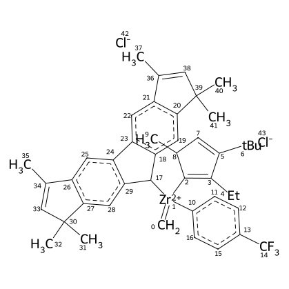 [CH2]=[Zr+2]([C]1=C(CC)C(C(C)(C)C)=CC1C)([c]1ccc(C(F)(F)F)cc1)[CH]1c2cc3c(cc2-c2cc4c(cc21)C(C)(C)C=C4C)C(C)=CC3(C)C.[Cl-].[Cl-]